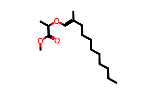 CCCCCCCCCC(C)=COC(C)C(=O)OC